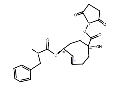 CN(Cc1ccccc1)C(=O)O[C@@H]1/C=C/CC[C@](O)(C(=O)ON2C(=O)CCC2=O)CC1